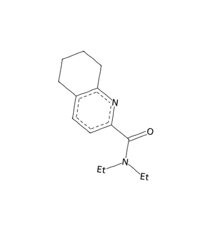 CCN(CC)C(=O)c1ccc2c(n1)CCCC2